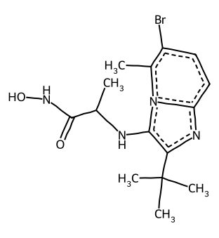 Cc1c(Br)ccc2nc(C(C)(C)C)c(NC(C)C(=O)NO)n12